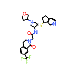 O=C(CN1CCc2ccc(C(F)(F)F)cc2C1=O)NC1CN(C2CCOC2)C[C@@H]1SC1CCc2ccncc21